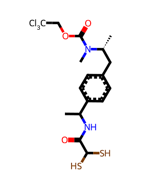 CC(NC(=O)C(S)S)c1ccc(C[C@@H](C)N(C)C(=O)OCC(Cl)(Cl)Cl)cc1